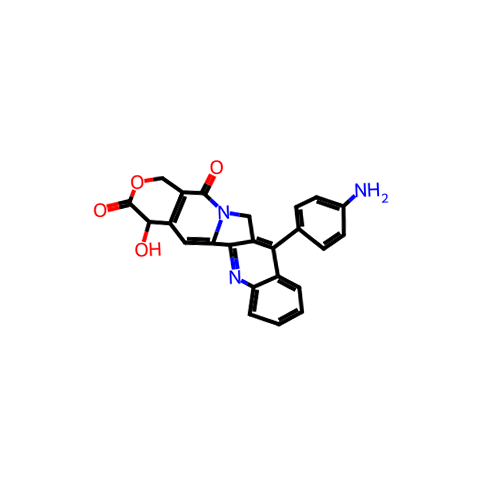 Nc1ccc(-c2c3c(nc4ccccc24)-c2cc4c(c(=O)n2C3)COC(=O)C4O)cc1